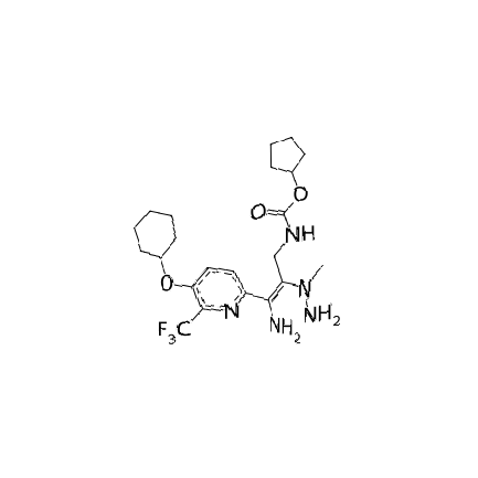 CN(N)/C(CNC(=O)OC1CCCC1)=C(\N)c1ccc(OC2CCCCC2)c(C(F)(F)F)n1